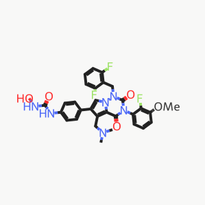 COc1cccc(-n2c(=O)c3c(CN(C)C)c(-c4ccc(NC(=O)NO)cc4)cn3n(Cc3c(F)cccc3F)c2=O)c1F